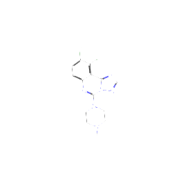 CN1CCN(c2nc3ccc(Cl)c(F)c3c3ncnn23)CC1